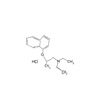 CCN(CC)CC(C)Oc1cccc2ccccc12.Cl